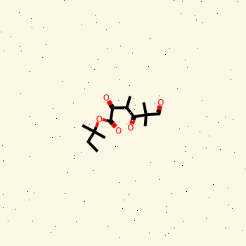 CCC(C)(C)OC(=O)C(=O)C(C)C(=O)C(C)(C)C=O